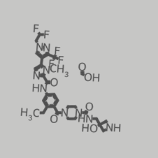 CCc1cc(NC(=O)c2ncc(-c3cn(CC(F)F)nc3C(F)(F)F)n2C)ccc1C(=O)N1CCN(C(=O)NCC2(O)CNC2)CC1.O=CO